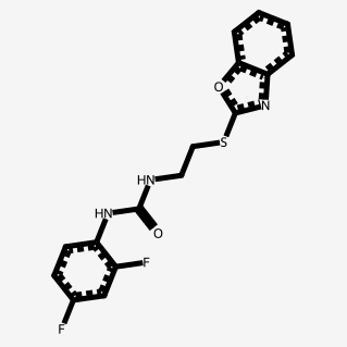 O=C(NCCSc1nc2ccccc2o1)Nc1ccc(F)cc1F